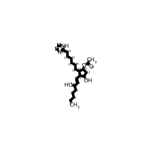 CCCCCC(O)C=CC1C(O)CC(OC(C)=O)C1CCCCCCc1nnn[nH]1